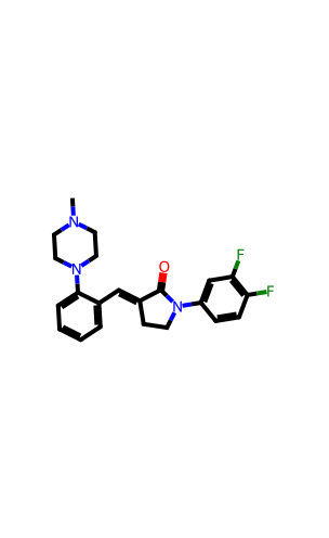 CN1CCN(c2ccccc2/C=C2\CCN(c3ccc(F)c(F)c3)C2=O)CC1